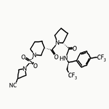 N#CC1CN(S(=O)(=O)N2CCC[C@H](C(=O)N3CCC[C@@H]3C(=O)N[C@H](CC(F)(F)F)c3ccc(C(F)(F)F)cc3)C2)C1